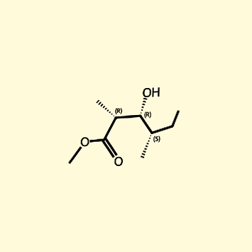 CC[C@H](C)[C@@H](O)[C@@H](C)C(=O)OC